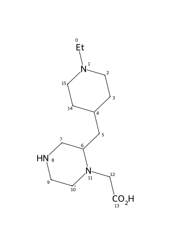 CCN1CCC(CC2CNC[CH]N2CC(=O)O)CC1